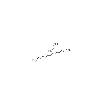 CCCCCCCC(CCCCCCC)NCCO